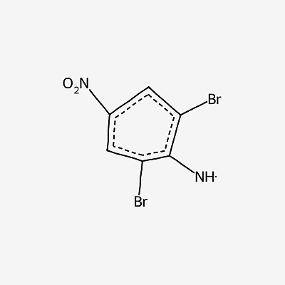 [NH]c1c(Br)cc([N+](=O)[O-])cc1Br